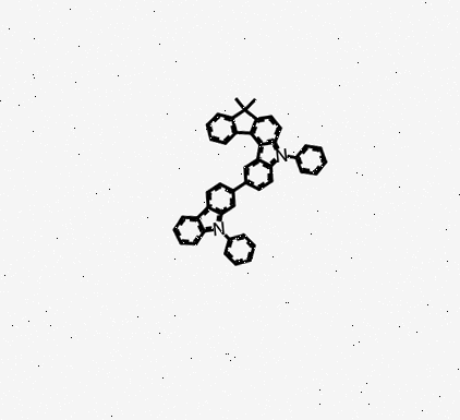 CC1(C)c2ccccc2-c2c1ccc1c2c2cc(-c3ccc4c5ccccc5n(-c5ccccc5)c4c3)ccc2n1-c1ccccc1